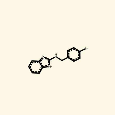 Brc1ccc(CNc2nc3ccccc3[nH]2)cc1